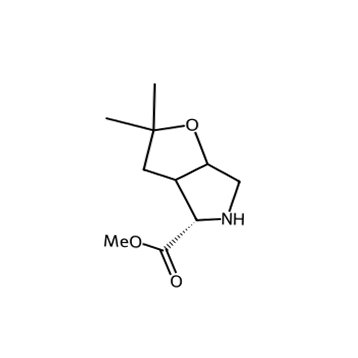 COC(=O)[C@H]1NCC2OC(C)(C)CC21